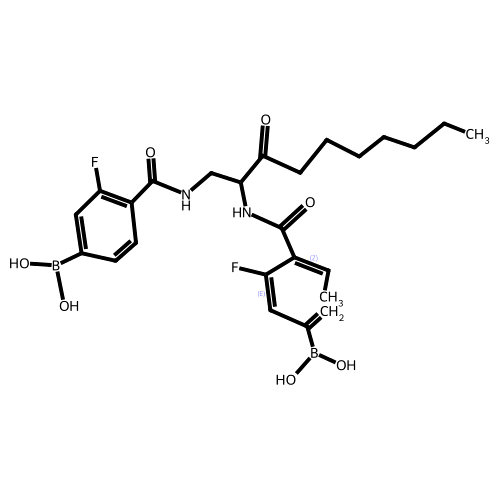 C=C(/C=C(F)\C(=C/C)C(=O)NC(CNC(=O)c1ccc(B(O)O)cc1F)C(=O)CCCCCCC)B(O)O